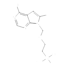 C[Si](C)(C)CCOCn1c(Cl)cc2c(Cl)ncnc21